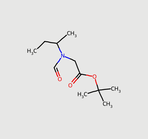 CCC(C)N(C=O)CC(=O)OC(C)(C)C